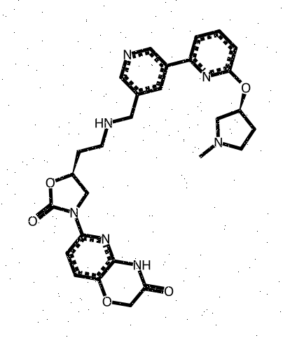 CN1CC[C@H](Oc2cccc(-c3cncc(CNCC[C@H]4CN(c5ccc6c(n5)NC(=O)CO6)C(=O)O4)c3)n2)C1